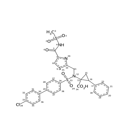 CS(=O)(=O)NC(=O)c1csc(CN(C2(C(=O)O)CC2c2ccccc2)S(=O)(=O)c2ccc(-c3ccc(Cl)cc3)cc2)n1